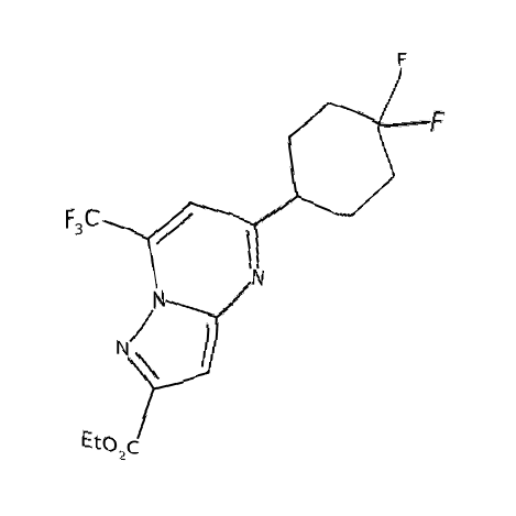 CCOC(=O)c1cc2nc(C3CCC(F)(F)CC3)cc(C(F)(F)F)n2n1